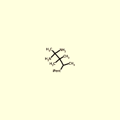 CCCC(C)C(C)C(C)(C)C(C)(N)N